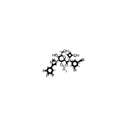 CO[C@@H]1[C@@H](n2cc(-c3cc(F)c(F)c(F)c3)nn2)[C@@H](O)[C@@H](CO)O[C@H]1C(=O)N(c1cc(Br)cc(C#N)c1)[C@H]1CC[C@@H]1O